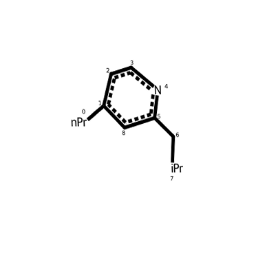 CCCc1ccnc(CC(C)C)c1